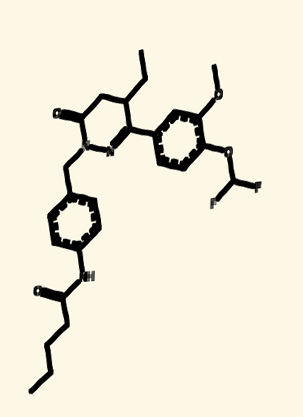 CCCCC(=O)Nc1ccc(CN2N=C(c3ccc(OC(F)F)c(OC)c3)C(CC)CC2=O)cc1